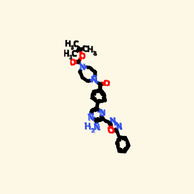 CC(C)(C)OC(=O)N1CCCN(C(=O)c2ccc(-c3cnc(N)c(-c4nnc(-c5ccccc5)o4)n3)cc2)CC1